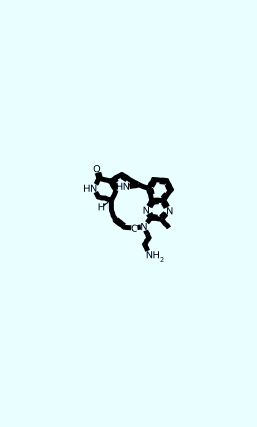 Cc1nc2cccc3c2nc1N(CCN)C/C=C\C[C@H]1CNC(=O)c2cc-3[nH]c21